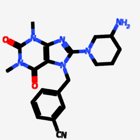 Cn1c(=O)c2c(nc(N3CCCC(N)C3)n2Cc2cccc(C#N)c2)n(C)c1=O